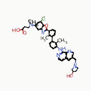 Cc1c(Nc2nccc3cc(CN4CCC(O)C4)cnc23)cccc1-c1cccc(-c2nc3cc(N(C)CCC(=O)O)cc(Cl)c3o2)c1C